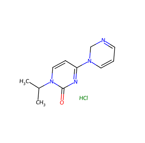 CC(C)n1ccc(N2C=CC=NC2)nc1=O.Cl